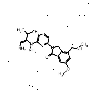 CNCc1cc(OC)cc2c1CN(c1cccc(N(N)/C(=C\N)C(C)C)n1)C2=O